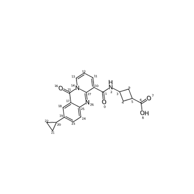 O=C(NC1CC(C(=O)O)C1)c1cccn2c(=O)c3cc(C4CC4)ccc3nc12